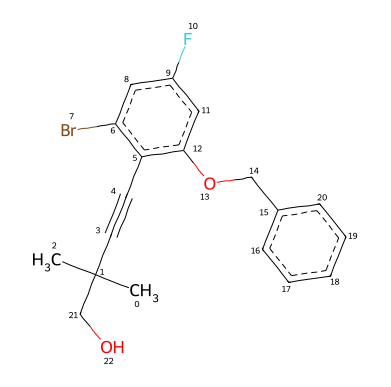 CC(C)(C#Cc1c(Br)cc(F)cc1OCc1ccccc1)CO